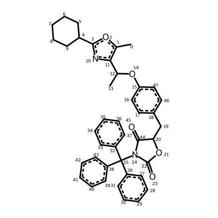 Cc1oc(C2CCCCC2)nc1C(C)Oc1ccc(CC2OC(=O)N(C(c3ccccc3)(c3ccccc3)c3ccccc3)C2=O)cc1